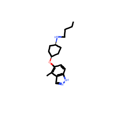 CCCCN[C@H]1CC[C@@H](Oc2ccc3[nH]ncc3c2C)CC1